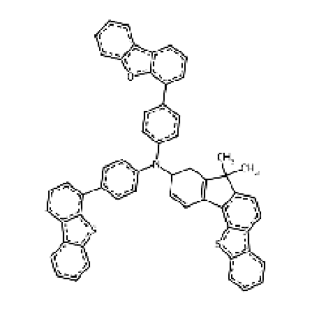 CC1(C)C2=C(C=CC(N(c3ccc(-c4cccc5c4oc4ccccc45)cc3)c3ccc(-c4cccc5c4sc4ccccc45)cc3)C2)c2c1ccc1c2sc2ccccc21